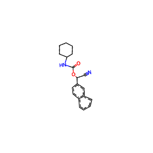 N#CC(OC(=O)NC1CCCCC1)c1ccc2ccccc2c1